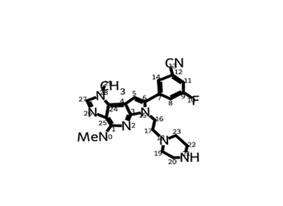 CNc1nc2c(cc(-c3cc(F)cc(C#N)c3)n2CCN2CCNCC2)c2c1ncn2C